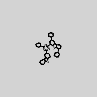 c1ccc(-c2cc(-c3nc(-c4ccccc4)nc(-c4ccc5sc6ccccc6c5c4)n3)c3sc4c(-c5ccccc5)cccc4c3c2)cc1